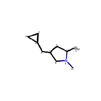 CCC(C)C1CC(CC2CC2)CN1C